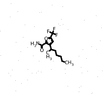 CCCCCC(C)c1cc(C(F)(F)F)oc1C(N)=O